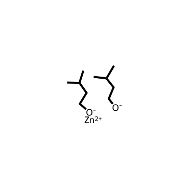 CC(C)CC[O-].CC(C)CC[O-].[Zn+2]